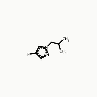 CC(C)Cn1cc(F)[c]n1